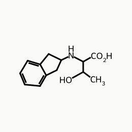 CC(O)C(NC1Cc2ccccc2C1)C(=O)O